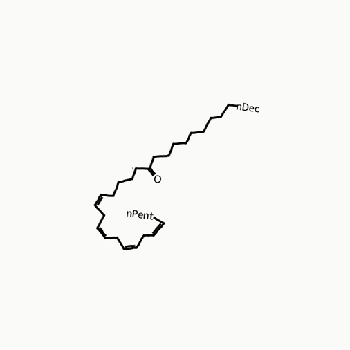 CCCCC/C=C\C/C=C\C/C=C\C/C=C\CCC[CH]C(=O)CCCCCCCCCCCCCCCCCCC